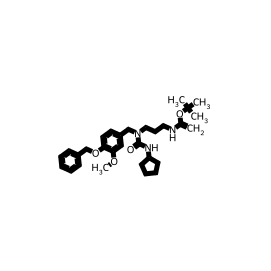 C=C(NCCCN(Cc1ccc(OCc2ccccc2)c(OC)c1)C(=O)NC1CCCC1)OC(C)(C)C